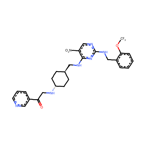 O=C(CN[C@H]1CC[C@H](CNc2nc(NCc3ccccc3OC(F)(F)F)ncc2[N+](=O)[O-])CC1)c1cccnc1